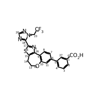 O=C(O)c1cccc(-c2ccc3c(c2)OCCc2sc(-c4ncnn4CC(F)(F)F)nc2-3)c1